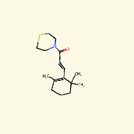 CC1=C(/C=C/C(=O)N2CCSCC2)C(C)(C)CCC1